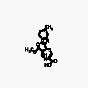 COC(=O)C1=CNC(C(=O)O)=CSC1c1cn2c(n1)CN(C)CC2